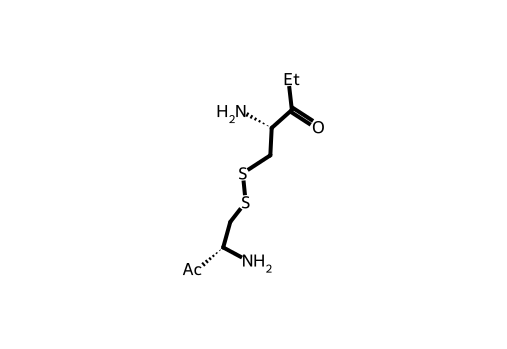 CCC(=O)[C@@H](N)CSSC[C@H](N)C(C)=O